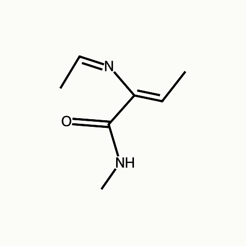 C/C=N\C(=C/C)C(=O)NC